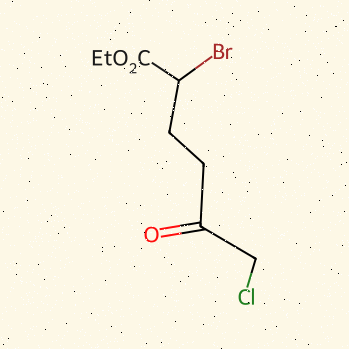 CCOC(=O)C(Br)CCC(=O)CCl